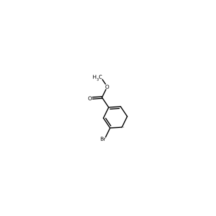 COC(=O)C1=CC[CH]C(Br)=C1